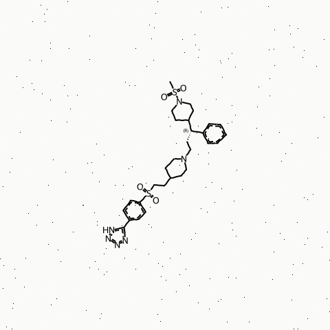 CS(=O)(=O)N1CCC([C@@H](CCN2CCC(CCS(=O)(=O)c3ccc(-c4nnn[nH]4)cc3)CC2)c2ccccc2)CC1